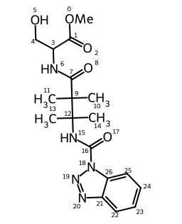 COC(=O)C(CO)NC(=O)C(C)(C)C(C)(C)NC(=O)n1nnc2ccccc21